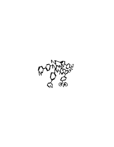 CS(=O)(=O)c1ccc(-c2ccc3cnc(N(c4ccc(-c5cccnc5)cc4)N(c4ccc(-c5cccnc5)cc4)c4ncc5ccc(-c6ccc(S(C)(=O)=O)cc6)n5n4)nn23)cc1